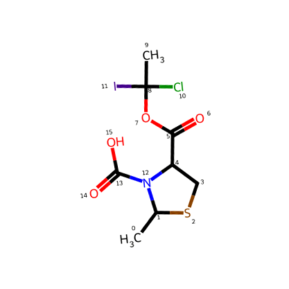 CC1SCC(C(=O)OC(C)(Cl)I)N1C(=O)O